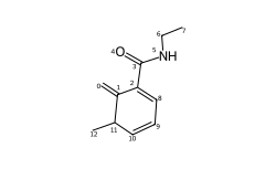 C=C1C(C(=O)NCC)=CC=CC1C